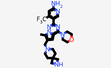 Cc1c(CN2CCC3(CC2)CNC3)cc2c(N3CCOCC3)nc(-c3cnc(N)cc3C(F)(F)F)nn12